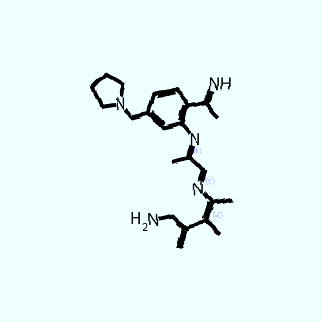 C=C(CN)\C(C)=C(C)/N=C/C(C)=N/c1cc(CN2CCCC2)ccc1C(C)=N